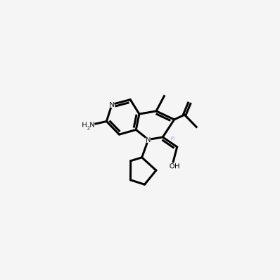 C=C(C)C1=C(C)c2cnc(N)cc2N(C2CCCC2)/C1=C\O